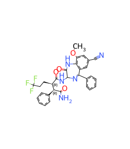 COc1cc(C#N)cc2c1NC(=O)C(NC(=O)[C@H](CCC(F)(F)F)[C@@H](C(N)=O)c1ccccc1)N=C2c1ccccc1